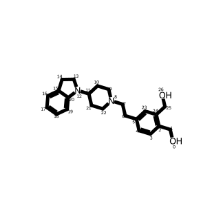 OCc1ccc(CCN2CCC(N3CCc4ccccc43)CC2)cc1CO